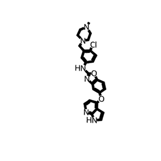 CN1CCN(Cc2cc(Nc3nc4cc(Oc5ccnc6[nH]ccc56)ccc4o3)ccc2Cl)CC1